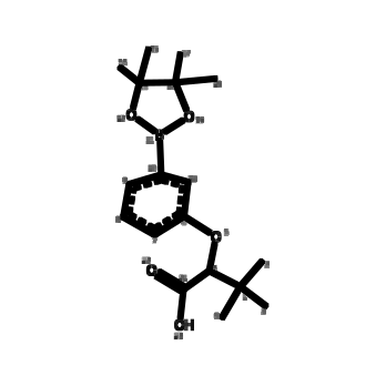 CC(C)(C)C(Oc1cccc(B2OC(C)(C)C(C)(C)O2)c1)C(=O)O